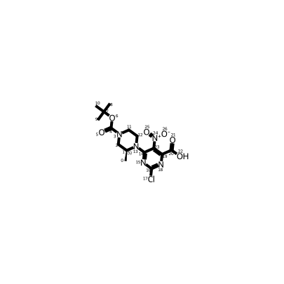 C[C@H]1CN(C(=O)OC(C)(C)C)CCN1c1nc(Cl)nc(C(=O)O)c1[N+](=O)[O-]